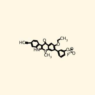 C#Cc1ccc2c(c1)[nH]c1c2c(=O)c2cc(OCC)c(-c3cccc(OS(=O)(=O)F)c3)cc2n1C